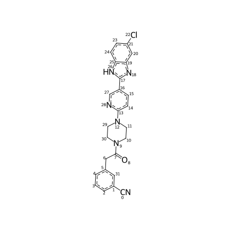 N#Cc1cccc(CC(=O)N2CCN(c3ccc(-c4nc5cc(Cl)ccc5[nH]4)cn3)CC2)c1